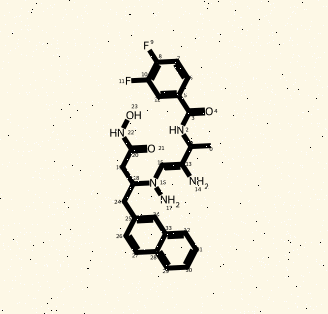 CC(NC(=O)c1ccc(F)c(F)c1)/C(N)=C/N(N)C(CC(=O)NO)Cc1ccc2ccccc2c1